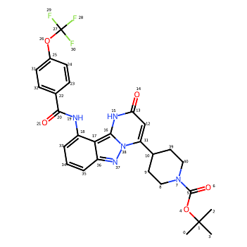 CC(C)(C)OC(=O)N1CCC(c2cc(=O)[nH]c3c4c(NC(=O)c5ccc(OC(F)(F)F)cc5)cccc4nn23)CC1